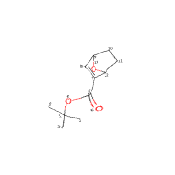 CC(C)(C)OC(=O)C1=CC2CCC1O2